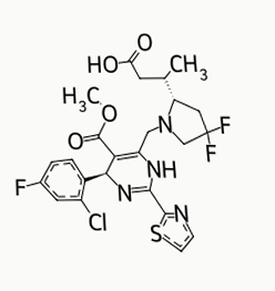 COC(=O)C1=C(CN2CC(F)(F)C[C@H]2C(C)CC(=O)O)NC(c2nccs2)=N[C@H]1c1ccc(F)cc1Cl